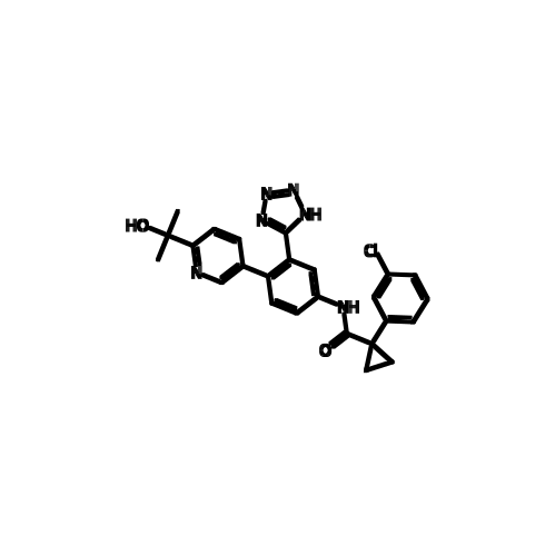 CC(C)(O)c1ccc(-c2ccc(NC(=O)C3(c4cccc(Cl)c4)CC3)cc2-c2nnn[nH]2)cn1